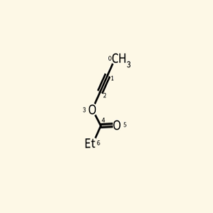 CC#COC(=O)CC